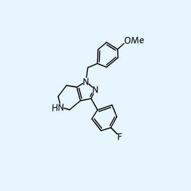 COc1ccc(Cn2nc(-c3ccc(F)cc3)c3c2CCNC3)cc1